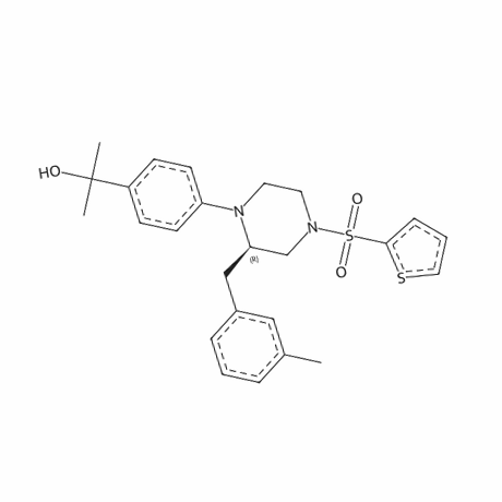 Cc1cccc(C[C@@H]2CN(S(=O)(=O)c3cccs3)CCN2c2ccc(C(C)(C)O)cc2)c1